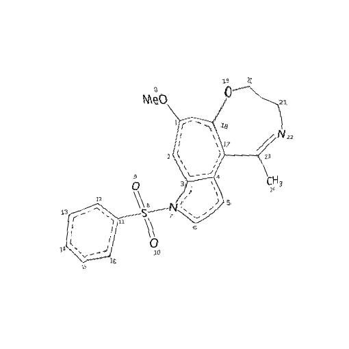 COc1cc2c(ccn2S(=O)(=O)c2ccccc2)c2c1OCCN=C2C